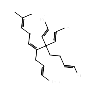 CCC=CCCC(C=CCCC)(C=CCCCC)/C(=[C]\CC=C(C)C)CC=CCCCCC